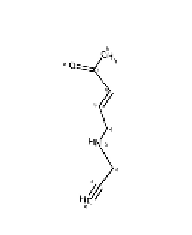 C#CCNC/C=C/C(C)=O